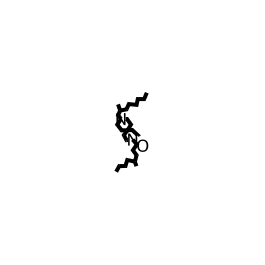 CCCCCCC(C)CN1CCC2(CC1)CCN(C(=O)CCC(C)CCCC)CC2